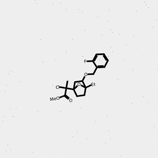 CCC12CCC(C(C)(Cl)C(=O)OC)(CC1OCc1ccccc1F)O2